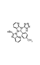 CCCCc1nc2cccnc2n1N1c2cccnc2N(c2nnn[nH]2)C1c1ccc(C)cc1